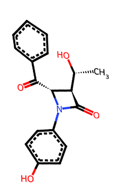 C[C@@H](O)[C@H]1C(=O)N(c2ccc(O)cc2)[C@@H]1C(=O)c1ccccc1